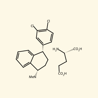 CN[C@H]1CC[C@@H](c2ccc(Cl)c(Cl)c2)c2ccccc21.N[C@@H](CCC(=O)O)C(=O)O